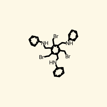 BrCc1c(CNc2ccccc2)c(CBr)c(CNc2ccccc2)c(CBr)c1CNc1ccccc1